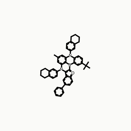 Cc1cc2c3c(c1)N(c1ccc4c(c1)CCCC4)c1c(oc4ccc(-c5ccccc5)cc14)B3c1cc(C(C)(C)C)ccc1N2c1ccc2c(c1)CCCC2